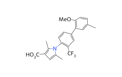 COc1ccc(C)cc1-c1ccc(-n2c(C)cc(C(=O)O)c2C)c(C(F)(F)F)c1